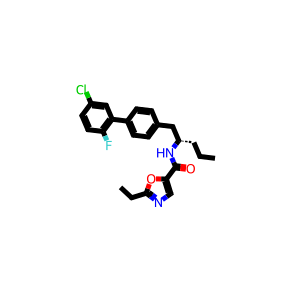 CCC[C@@H](Cc1ccc(-c2cc(Cl)ccc2F)cc1)NC(=O)c1cnc(CC)o1